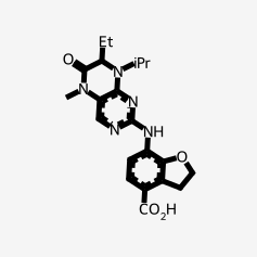 CCC1C(=O)N(C)c2cnc(Nc3ccc(C(=O)O)c4c3OCC4)nc2N1C(C)C